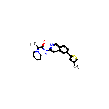 Cc1csc(-c2ccc3cnc(NC(=O)C(C)N4CCCCC4)cc3c2)c1